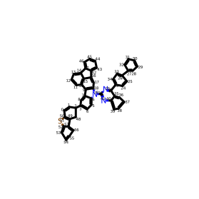 C1=CC(c2ccc3c(c2)c2c4cccc5c4c(cc2n3-c2nc(-c3ccc(-c4ccccc4)cc3)c3ccccc3n2)-c2ccccc2-5)Cc2c1sc1ccccc21